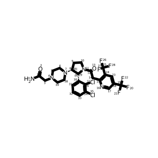 NC(=O)CN1CCN([C@@H]2CCN(C(=O)Cc3ncc(C(F)(F)F)cc3C(F)(F)F)[C@@H]2c2cccc(Cl)c2Cl)CC1